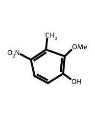 COc1c(O)ccc([N+](=O)[O-])c1C